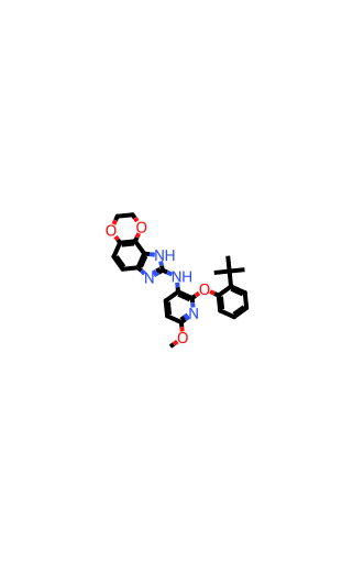 COc1ccc(Nc2nc3ccc4c(c3[nH]2)OCCO4)c(Oc2ccccc2C(C)(C)C)n1